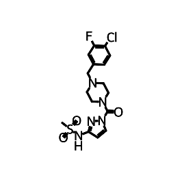 CS(=O)(=O)Nc1ccn(C(=O)N2CCN(Cc3ccc(Cl)c(F)c3)CC2)n1